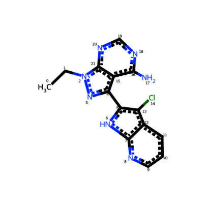 CCn1nc(-c2[nH]c3ncccc3c2Cl)c2c(N)ncnc21